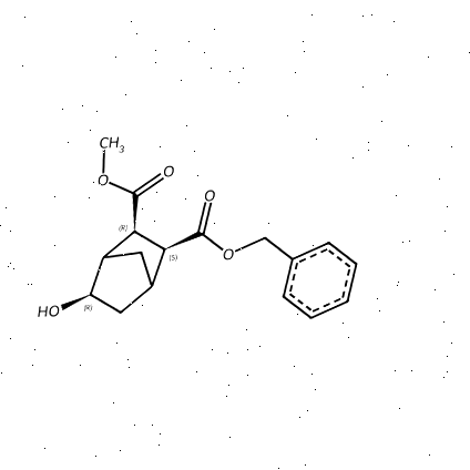 COC(=O)[C@@H]1C2CC(C[C@H]2O)[C@@H]1C(=O)OCc1ccccc1